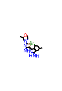 CC1CC2=C(/C(=C3\SC(N4CCOC(C)C4)=NC3=N)NC2=N)C(Br)C1